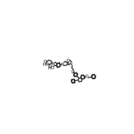 O=C1CCC(N2Cc3cc(N4CCC5(CC4)CN(CCCOc4ccc(C6c7ccc(OCc8ccccc8)cc7CCC6c6ccccc6)cc4)CCO5)ccc3C2O)C(=O)N1